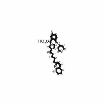 O=C(O)[C@H](c1cc(F)ccc1COC1CCOCC1)N1CC[C@@H]([C@H](F)CCCCc2ccc3c(n2)NCCC3)C1